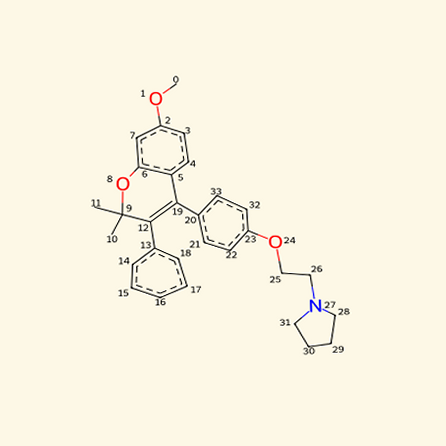 COc1ccc2c(c1)OC(C)(C)C(c1ccccc1)=C2c1ccc(OCCN2CCCC2)cc1